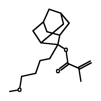 C=C(C)C(=O)OC1(CCCCOC)C2CC3CC(C2)CC1C3